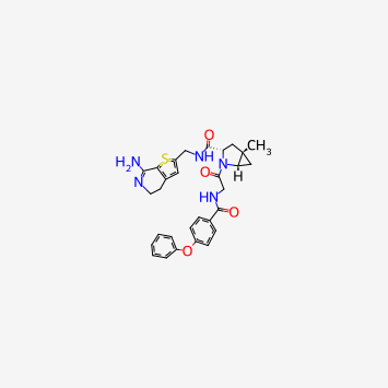 C[C@@]12C[C@@H]1N(C(=O)CNC(=O)c1ccc(Oc3ccccc3)cc1)[C@H](C(=O)NCc1cc3c(s1)C(N)=NCC3)C2